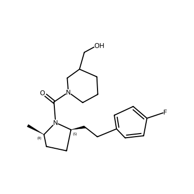 C[C@@H]1CC[C@H](CCc2ccc(F)cc2)N1C(=O)N1CCCC(CO)C1